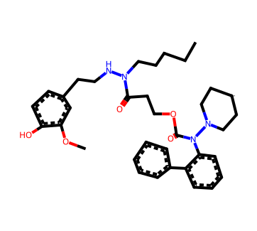 CCCCCN(NCCc1ccc(O)c(OC)c1)C(=O)CCOC(=O)N(c1ccccc1-c1ccccc1)N1CC[CH]CC1